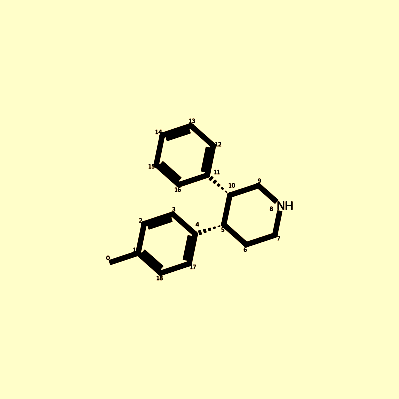 Cc1ccc([C@H]2CCNC[C@H]2c2ccccc2)cc1